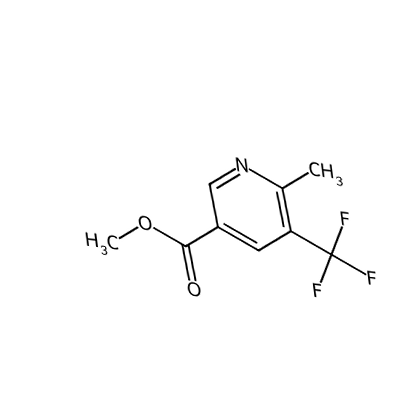 COC(=O)c1cnc(C)c(C(F)(F)F)c1